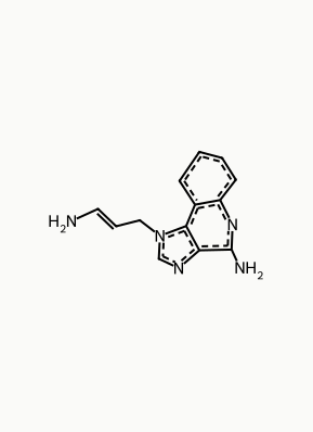 NC=CCn1cnc2c(N)nc3ccccc3c21